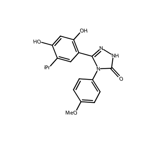 COc1ccc(-n2c(-c3cc(C(C)C)c(O)cc3O)n[nH]c2=O)cc1